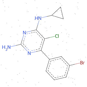 Nc1nc(NC2CC2)c(Cl)c(-c2cccc(Br)c2)n1